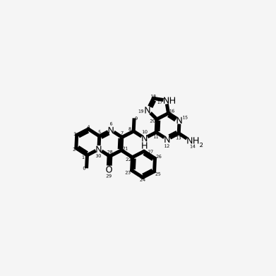 Cc1cccc2nc(C(C)Nc3nc(N)nc4[nH]cnc34)c(-c3ccccc3)c(=O)n12